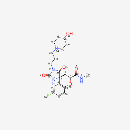 CCNC(=O)[C@@H]1C[C@]2(NC(=O)N(CCCN3CCC(O)CC3)C2=O)c2cc(F)ccc2O1